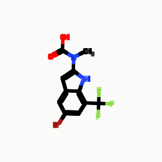 CN(C(=O)O)c1cc2cc(Br)cc(C(F)(F)F)c2[nH]1